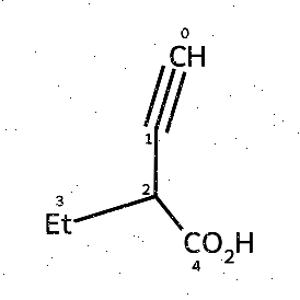 C#CC(CC)C(=O)O